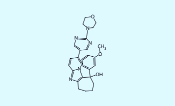 COc1cccc(C2(O)CCCCc3nc4ccc(-c5cnc(N6CCOCC6)nc5)cn4c32)c1